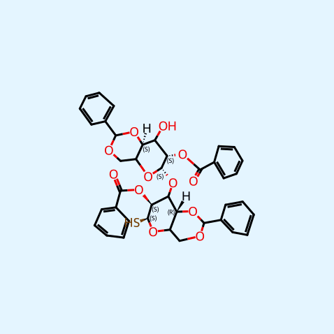 O=C(O[C@H]1C(O)[C@@H]2OC(c3ccccc3)OCC2O[C@H]1OC1[C@@H]2OC(c3ccccc3)OCC2O[C@@H](S)[C@H]1OC(=O)c1ccccc1)c1ccccc1